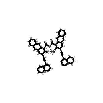 O=C(O)c1c(C#Cc2cccc3ccccc23)cc2cc3ccccc3cc2c1C(=O)OC(=O)c1c(C(=O)O)c(C#Cc2cccc3ccccc23)cc2cc3ccccc3cc12